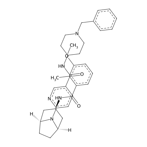 COc1cccc(C(=O)N[C@H]2C[C@H]3CC[C@@H](C2)N3c2ccc(C(=O)NC3CCN(Cc4ccccc4)CC3)cn2)c1C